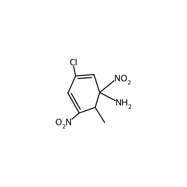 CC1C([N+](=O)[O-])=CC(Cl)=CC1(N)[N+](=O)[O-]